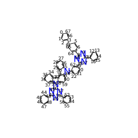 c1ccc(-c2ccc(-c3nc(-c4ccccc4)nc(-c4cccc(-n5c6ccccc6c6c7c8ccccc8n(-c8nc(-c9ccccc9)nc(-c9ccccc9)n8)c7ccc65)c4)n3)cc2)cc1